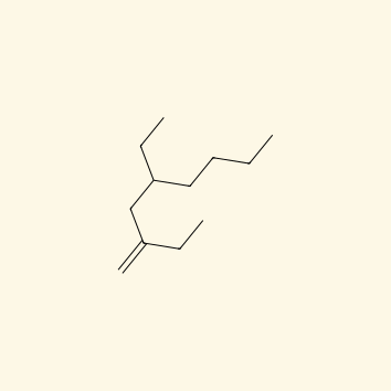 C=C(CC)CC(CC)CCCC